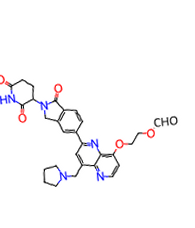 O=COCCOc1ccnc2c(CN3CCCC3)cc(-c3ccc4c(c3)CN(C3CCC(=O)NC3=O)C4=O)nc12